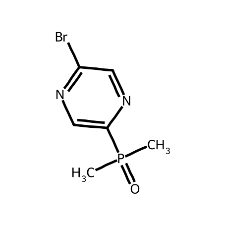 CP(C)(=O)c1cnc(Br)cn1